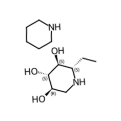 C1CCNCC1.CC[C@@H]1NC[C@@H](O)[C@H](O)[C@H]1O